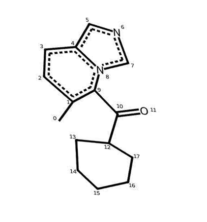 Cc1ccc2cncn2c1C(=O)C1CCCCC1